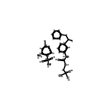 CC(Cc1ccccc1)c1cccc(NC(=O)OCC(Cl)(Cl)Cl)c1.Cc1ccc(S(=O)(=O)O)cc1.N